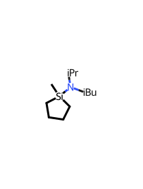 CCC(C)N(C(C)C)[Si]1(C)CCCC1